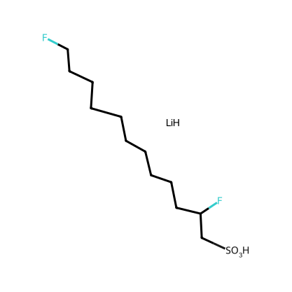 O=S(=O)(O)CC(F)CCCCCCCCCCF.[LiH]